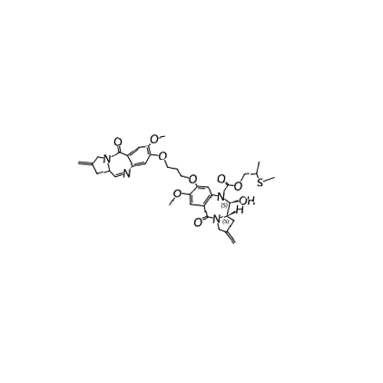 C=C1CC2C=Nc3cc(OCCCOc4cc5c(cc4OC)C(=O)N4CC(=C)C[C@H]4[C@H](O)N5C(=O)OCC(C)SC)c(OC)cc3C(=O)N2C1